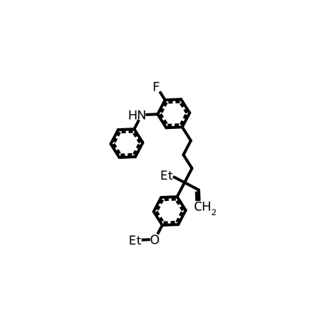 C=CC(CC)(CCCc1ccc(F)c(Nc2ccccc2)c1)c1ccc(OCC)cc1